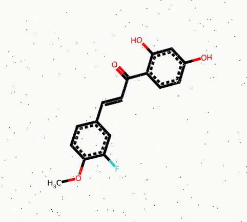 COc1ccc(C=CC(=O)c2ccc(O)cc2O)cc1F